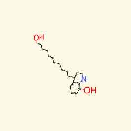 OCCCCCCCCCCCc1ccnc2c(O)cccc12